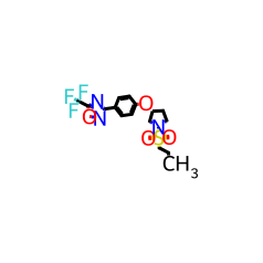 CCCS(=O)(=O)N1CCC(Oc2ccc(-c3noc(C(F)(F)F)n3)cc2)C1